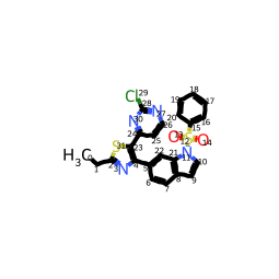 CCc1nc(-c2ccc3ccn(S(=O)(=O)c4ccccc4)c3c2)c(-c2ccnc(Cl)n2)s1